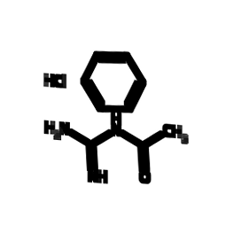 CC(=O)NC(=N)N.Cl.c1ccccc1